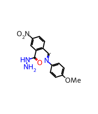 COc1ccc(N=[C]c2ccc([N+](=O)[O-])cc2C(=O)NN)cc1